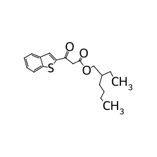 CCCCC(CC)COC(=O)CC(=O)c1cc2ccccc2s1